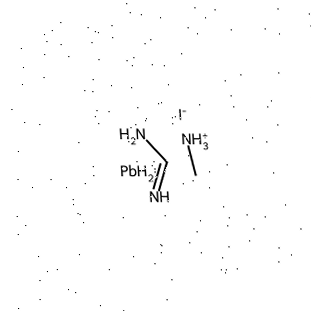 C[NH3+].N=CN.[I-].[PbH2]